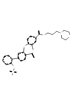 CS(=O)(=O)Nc1ccccc1-c1ccc2c(c1)Nc1ccc(C(=O)NCCCN3CCOCC3)cc1NC2=O